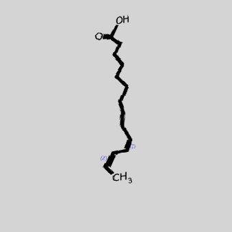 C/C=C\C=C/CCCCCCCCC(=O)O